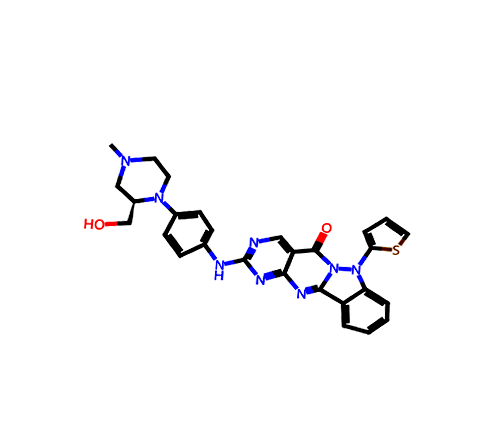 CN1CCN(c2ccc(Nc3ncc4c(=O)n5c(nc4n3)c3ccccc3n5-c3cccs3)cc2)[C@@H](CO)C1